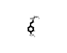 Cc1ccc(C=CNN)cc1